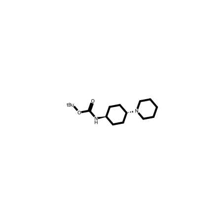 CC(C)(C)OC(=O)N[C@H]1CC[C@H](N2CCCCC2)CC1